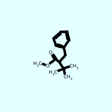 COC(=O)C(Cc1ccccc1)C(C)(C)C